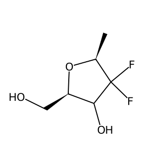 C[C@@H]1O[C@H](CO)C(O)C1(F)F